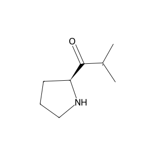 C[C](C)C(=O)[C@@H]1CCCN1